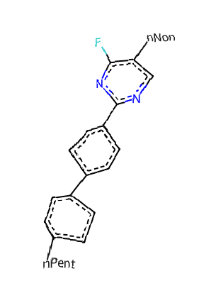 CCCCCCCCCc1cnc(-c2ccc(-c3ccc(CCCCC)cc3)cc2)nc1F